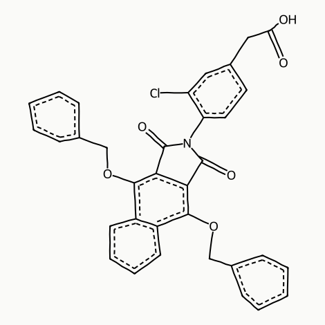 O=C(O)Cc1ccc(N2C(=O)c3c(c(OCc4ccccc4)c4ccccc4c3OCc3ccccc3)C2=O)c(Cl)c1